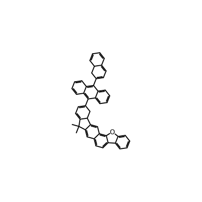 CC1(C)C2=CC=C(c3c4ccccc4c(C4=CC=C5C=CC=CC5C4)c4ccccc34)CC2c2cc3c(ccc4c5ccccc5oc34)cc21